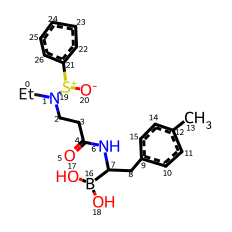 CCN(CCC(=O)NC(Cc1ccc(C)cc1)B(O)O)[S+]([O-])c1ccccc1